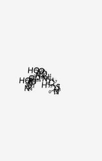 Cc1ncsc1-c1ccc(C(C)NC(=O)C2CC(OP(=O)(O)n3ccnc3)CN2C(=O)O)cc1